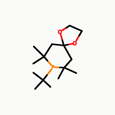 CC(C)(C)P1C(C)(C)CC2(CC1(C)C)OCCO2